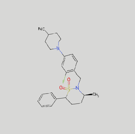 C[C@H]1CCC(c2ccccc2)S(=O)(=O)N1Cc1ccc(N2CCC(C#N)CC2)cc1F